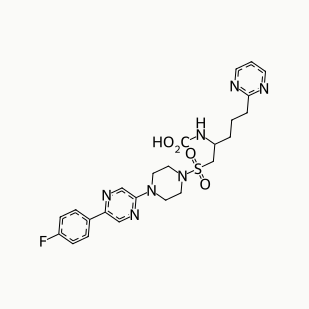 O=C(O)NC(CCCc1ncccn1)CS(=O)(=O)N1CCN(c2cnc(-c3ccc(F)cc3)cn2)CC1